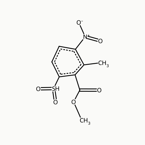 COC(=O)c1c([SH](=O)=O)ccc([N+](=O)[O-])c1C